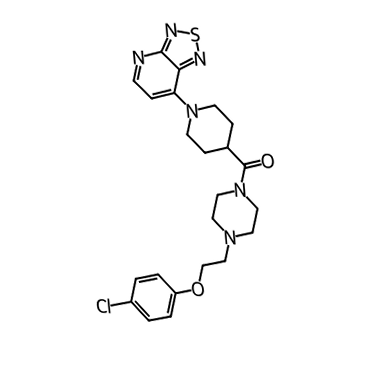 O=C(C1CCN(c2ccnc3nsnc23)CC1)N1CCN(CCOc2ccc(Cl)cc2)CC1